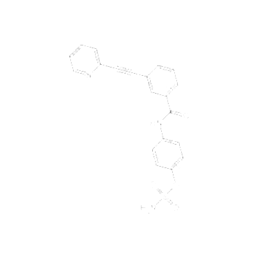 NS(=O)(=O)Oc1ccc(NC(=O)c2cccc(C#Cc3ccccn3)c2)cc1